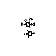 Cc1cc(C)c(O)c(C)c1.O=C1C=C(N2CC2)C(=O)C(N2CC2)=C1N1CC1